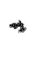 CCOc1ccc(CC(OC(C)C)C(=O)O)cc1COC(=O)Nc1ccc(OC)cc1OC